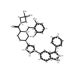 O=C(C1CC[C@H](c2cn(-c3ccc4[nH]nc(-c5ccncc5)c4c3)nn2)CN1Cc1c(F)cccc1F)N1CC(F)(F)C1